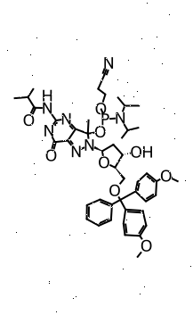 COc1ccc(C(OC[C@H]2O[C@@H](N3N=C4C(=O)N=C(NC(=O)C(C)C)N=C4C3(C)OP(OCCC#N)N(C(C)C)C(C)C)C[C@@H]2O)(c2ccccc2)c2ccc(OC)cc2)cc1